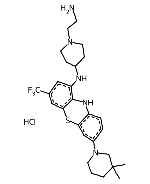 CC1(C)CCCN(c2ccc3c(c2)Sc2cc(C(F)(F)F)cc(NC4CCN(CCN)CC4)c2N3)C1.Cl